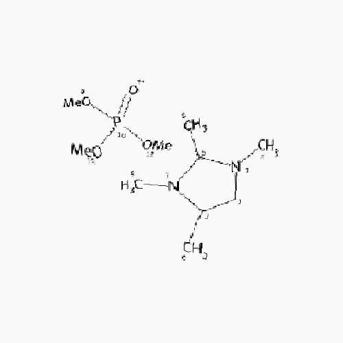 CC1CN(C)C(C)N1C.COP(=O)(OC)OC